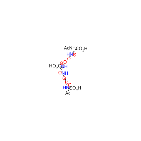 CC(=O)CC[C@H](NC(=O)COCCOCCNC(=O)CC[C@H](NC(=O)COCCOCCNC(=O)CC[C@H](NC(C)=O)C(=O)O)C(=O)O)C(=O)O